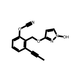 CC#Cc1cccc(OC#N)c1COc1ccn(O)n1